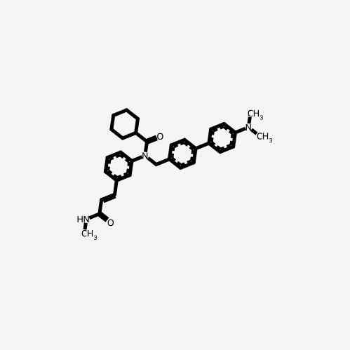 CNC(=O)C=Cc1cccc(N(Cc2ccc(-c3ccc(N(C)C)cc3)cc2)C(=O)C2CCCCC2)c1